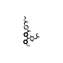 CCOC(=O)CN1CCN(C(=O)c2cccc(C(c3cccc(O)c3)N3C[C@@H](C)N(CC(C)CC)C[C@@H]3C)c2)CC1